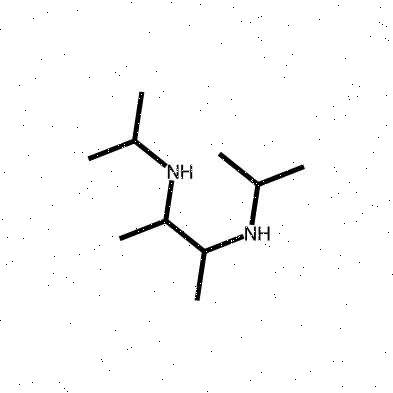 CC(C)NC(C)C(C)NC(C)C